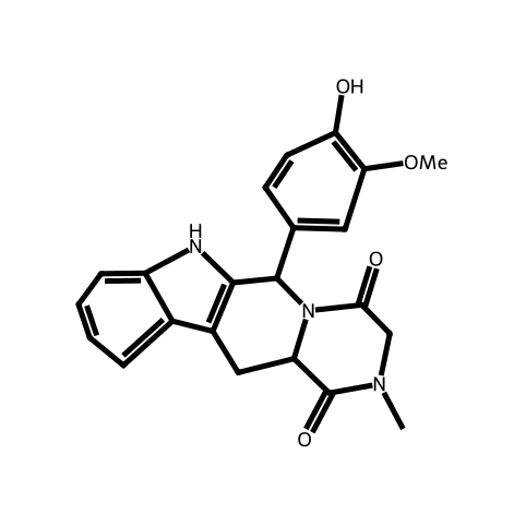 COc1cc(C2c3[nH]c4ccccc4c3CC3C(=O)N(C)CC(=O)N32)ccc1O